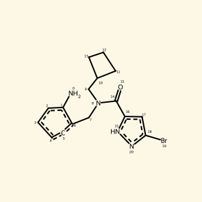 Nc1ccccc1CN(CC1CCC1)C(=O)c1cc(Br)n[nH]1